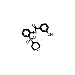 N#Cc1cccc(C(=O)Nc2ccccc2S(=O)(=O)C2CCOCC2)c1